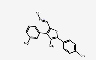 Cc1c(-c2ccc(O)cc2)sc(/C=N/O)c1-c1cccc(O)c1